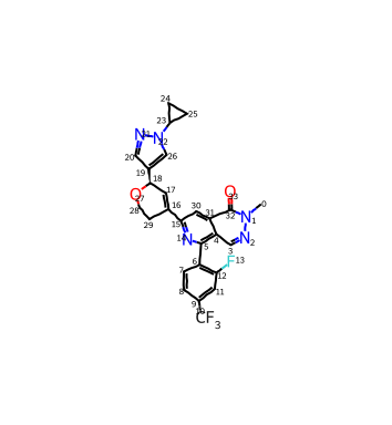 Cn1ncc2c(-c3ccc(C(F)(F)F)cc3F)nc(C3=C[C@H](c4cnn(C5CC5)c4)OCC3)cc2c1=O